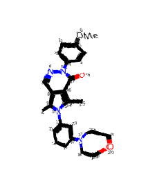 COc1ccc(-n2ncc3c(C)n(-c4cccc(N5CCOCC5)c4)c(C)c3c2=O)cc1